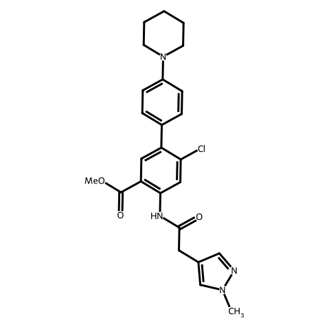 COC(=O)c1cc(-c2ccc(N3CCCCC3)cc2)c(Cl)cc1NC(=O)Cc1cnn(C)c1